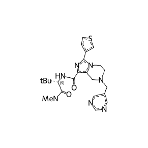 CNC(=O)[C@@H](NC(=O)c1nc(-c2ccsc2)n2c1CN(Cc1cncnc1)CC2)C(C)(C)C